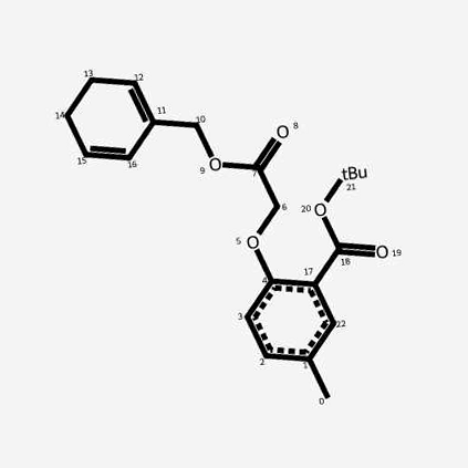 Cc1ccc(OCC(=O)OCC2=CCCC=C2)c(C(=O)OC(C)(C)C)c1